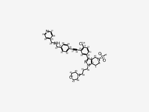 CS(=O)(=O)N1CCc2c(c(-c3ccc(Cl)c(C#Cc4ccc(CNCc5ccncc5)cc4)c3)nn2CCCN2CCOCC2)C1